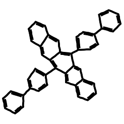 c1ccc(-c2ccc(-c3c4cc5ccccc5cc4c(-c4ccc(-c5ccccc5)cc4)c4cc5ccccc5cc34)cc2)cc1